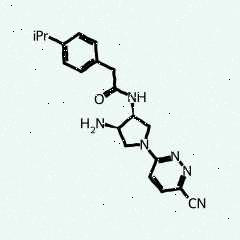 CC(C)c1ccc(CC(=O)N[C@H]2CN(c3ccc(C#N)nn3)C[C@H]2N)cc1